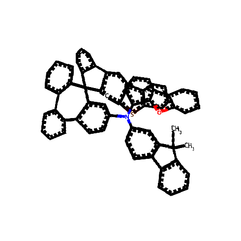 CC1(C)c2ccccc2-c2ccc(N(c3ccc4c(c3)C3(c5ccccc5-c5ccccc5-4)c4ccccc4-c4cc5c(cc43)sc3ccccc35)c3cccc4c3oc3ccccc34)cc21